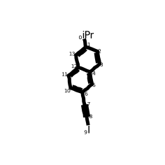 CC(C)c1ccc2cc(C#CI)ccc2c1